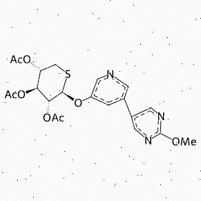 COc1ncc(-c2cncc(O[C@@H]3SC[C@@H](OC(C)=O)[C@H](OC(C)=O)[C@H]3OC(C)=O)c2)cn1